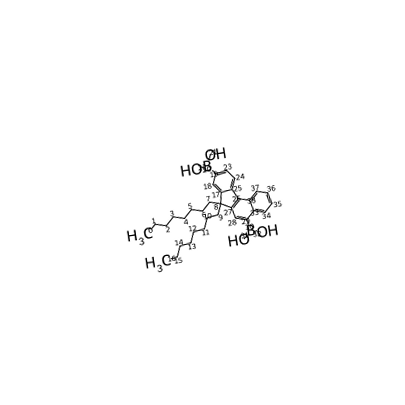 CCCCCCCCC1(CCCCCCCC)c2cc(B(O)O)ccc2-c2c1cc(B(O)O)c1ccccc21